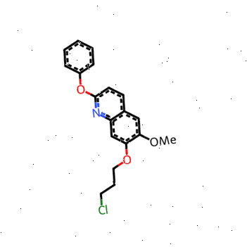 COc1cc2ccc(Oc3ccccc3)nc2cc1OCCCCl